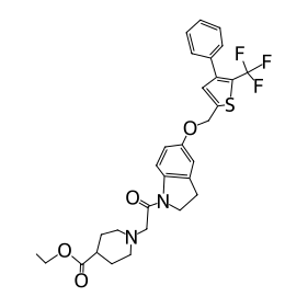 CCOC(=O)C1CCN(CC(=O)N2CCc3cc(OCc4cc(-c5ccccc5)c(C(F)(F)F)s4)ccc32)CC1